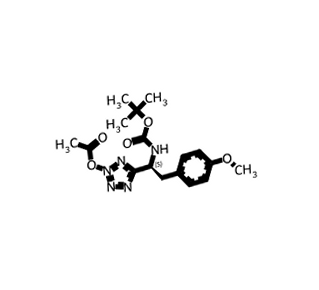 COc1ccc(C[C@H](NC(=O)OC(C)(C)C)c2nnn(OC(C)=O)n2)cc1